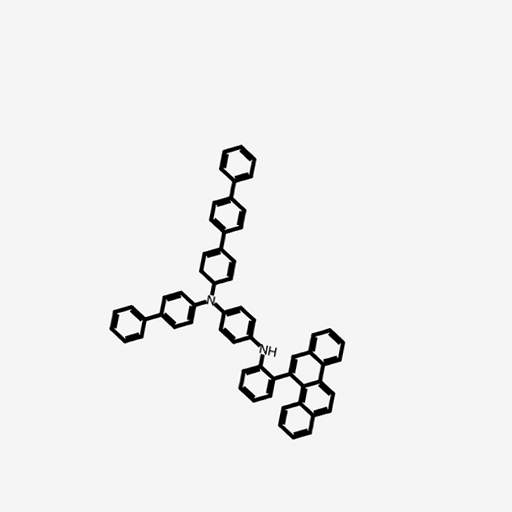 C1=CC(N(c2ccc(Nc3ccccc3-c3cc4ccccc4c4ccc5ccccc5c34)cc2)c2ccc(-c3ccccc3)cc2)CC=C1c1ccc(-c2ccccc2)cc1